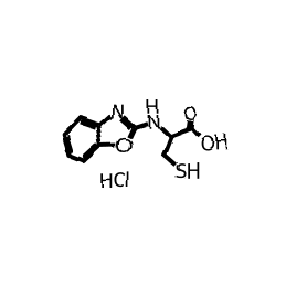 Cl.O=C(O)C(CS)Nc1nc2ccccc2o1